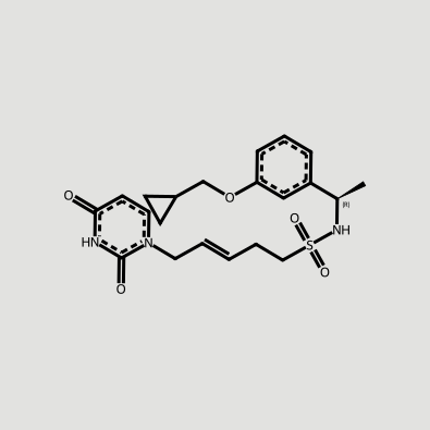 C[C@@H](NS(=O)(=O)CCC=CCn1ccc(=O)[nH]c1=O)c1cccc(OCC2CC2)c1